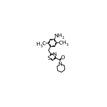 Cc1cc(Cc2nc(C(=O)N3CCCCC3)cs2)c(C)cc1N